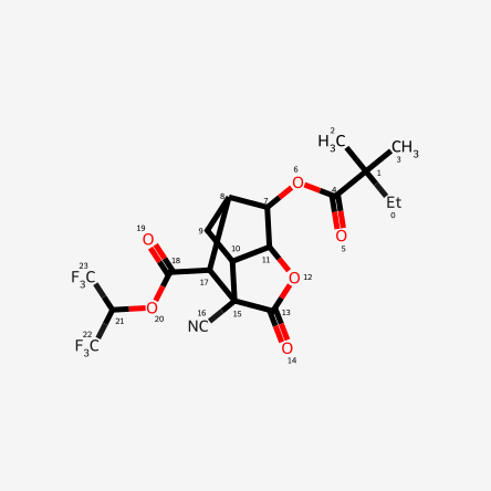 CCC(C)(C)C(=O)OC1C2CC3C1OC(=O)C3(C#N)C2C(=O)OC(C(F)(F)F)C(F)(F)F